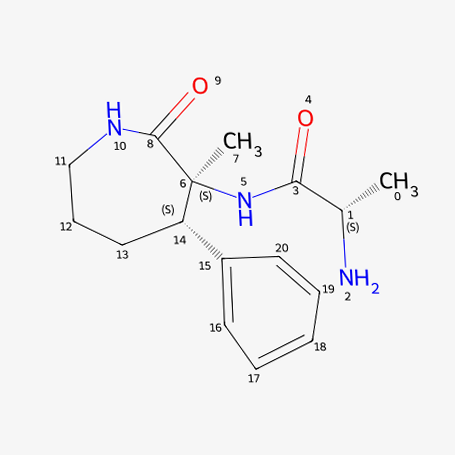 C[C@H](N)C(=O)N[C@]1(C)C(=O)NCCC[C@H]1c1ccccc1